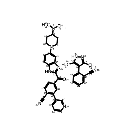 CN(C)C1CCN(c2ccc3[nH]c(C(=O)c4ccc(C#N)c(-c5cccnc5)c4)nc3c2)CC1.Cc1n[nH]c(C)c1-c1ccccc1C#N